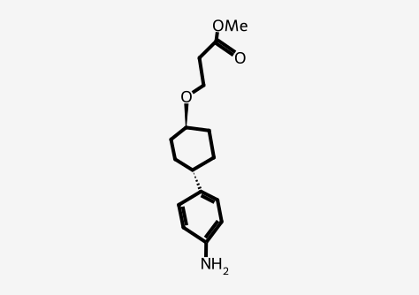 COC(=O)CCO[C@H]1CC[C@H](c2ccc(N)cc2)CC1